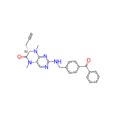 C#CC[C@H]1C(=O)N(C)c2cnc(NCc3ccc(C(=O)c4ccccc4)cc3)nc2N1C